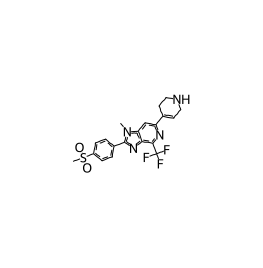 Cn1c(-c2ccc(S(C)(=O)=O)cc2)nc2c(C(F)(F)F)nc(C3=CCNCC3)cc21